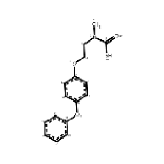 CN(CCOc1ccc(Oc2ccccc2)cc1)C(=O)S